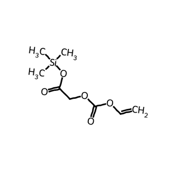 C=COC(=O)OCC(=O)O[Si](C)(C)C